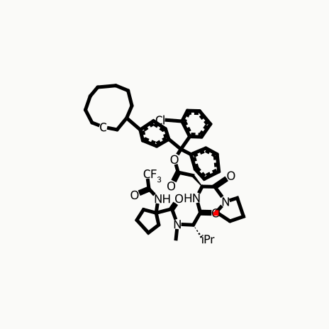 CC(C)[C@@H](C(=O)N[C@@H](CC(=O)OC(c1ccccc1)(c1ccc(C2CCCCCCCCC2)cc1)c1ccccc1Cl)C(=O)N1CCCC1)N(C)C(=O)C1(NC(=O)C(F)(F)F)CCCC1